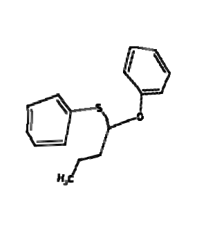 CCCC(Oc1ccccc1)Sc1ccccc1